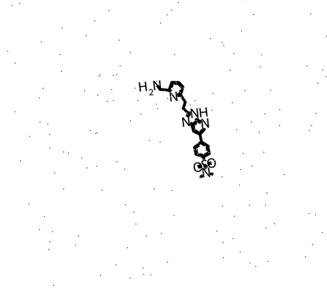 CN(C)S(=O)(=O)c1ccc(-c2cnc3[nH]c(CCc4cccc(CN)n4)nc3c2)cc1